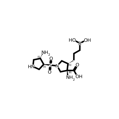 N[C@H]1CNC[C@@H]1S(=O)(=O)N1C[C@H](CCCB(O)O)[C@](N)(C(=O)O)C1